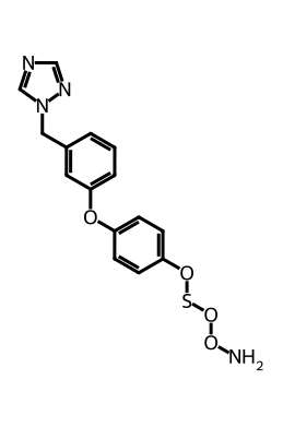 NOOSOc1ccc(Oc2cccc(Cn3cncn3)c2)cc1